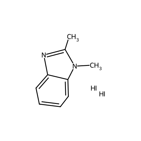 Cc1nc2ccccc2n1C.I.I